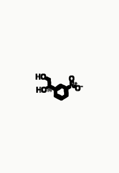 O=[N+]([O-])c1cccc([C@@H](O)CO)c1